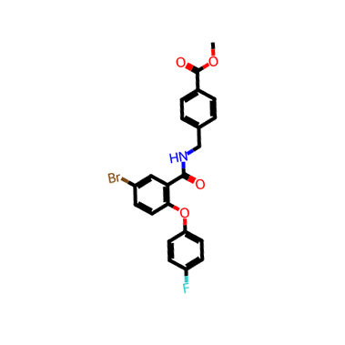 COC(=O)c1ccc(CNC(=O)c2cc(Br)ccc2Oc2ccc(F)cc2)cc1